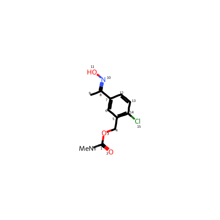 CNC(=O)OCc1cc(/C(C)=N/O)ccc1Cl